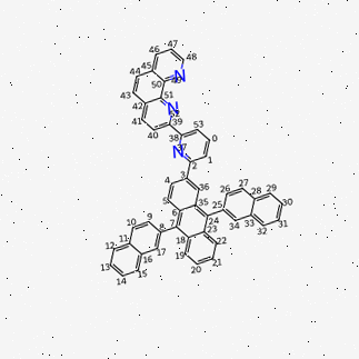 c1cc(-c2ccc3c(-c4ccc5ccccc5c4)c4ccccc4c(-c4ccc5ccccc5c4)c3c2)nc(-c2ccc3ccc4cccnc4c3n2)c1